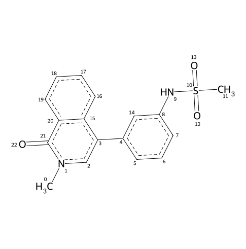 Cn1cc(-c2cccc(NS(C)(=O)=O)c2)c2ccccc2c1=O